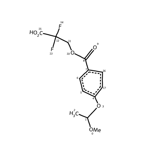 COC(C)Oc1ccc(C(=O)OCC(F)(F)C(=O)O)cc1